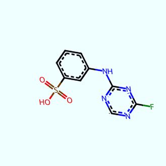 O=S(=O)(O)c1cccc(Nc2n[c]nc(F)n2)c1